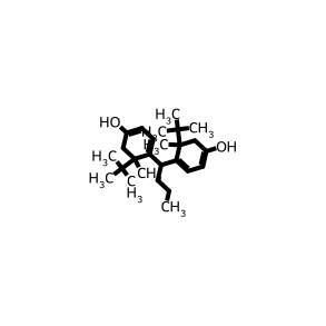 CCCC(C1=CC=C(O)CC1(C)C(C)(C)C)C1=CC=C(O)CC1(C)C(C)(C)C